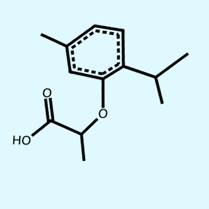 Cc1ccc(C(C)C)c(OC(C)C(=O)O)c1